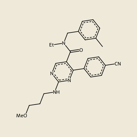 CCN(Cc1cccc(C)c1)C(=O)c1cnc(NCCCOC)nc1-c1ccc(C#N)cc1